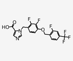 O=C(O)c1cncn1Cc1ccc(OCc2ccc(C(F)(F)F)cc2F)c(F)c1F